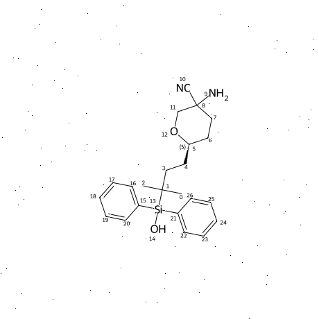 CC(C)(CC[C@@H]1CCC(N)(C#N)CO1)[Si](O)(c1ccccc1)c1ccccc1